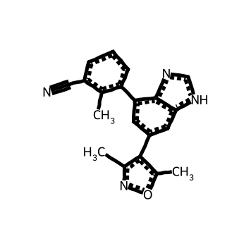 Cc1noc(C)c1-c1cc(-c2cccc(C#N)c2C)c2nc[nH]c2c1